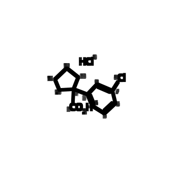 Cl.O=C(O)C1(c2cccc(Cl)c2)CCCC1